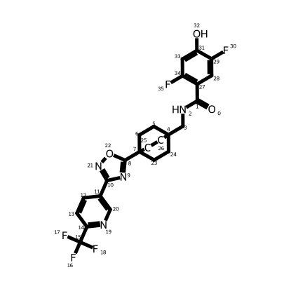 O=C(NCC12CCC(c3nc(-c4ccc(C(F)(F)F)nc4)no3)(CC1)CC2)c1cc(F)c(O)cc1F